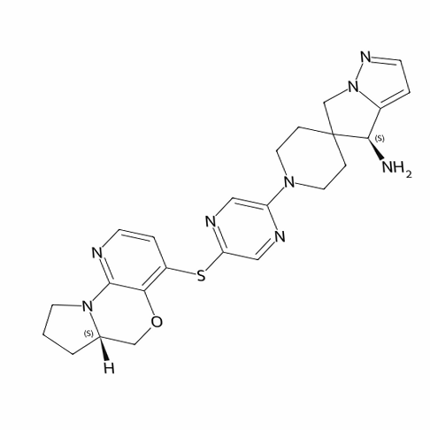 N[C@@H]1c2ccnn2CC12CCN(c1cnc(Sc3ccnc4c3OC[C@@H]3CCCN43)cn1)CC2